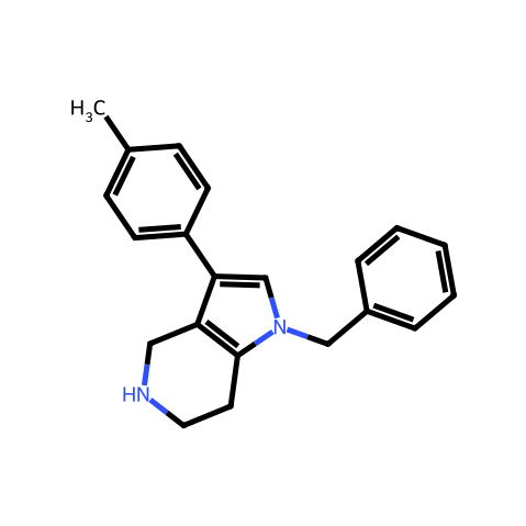 Cc1ccc(-c2cn(Cc3ccccc3)c3c2CNCC3)cc1